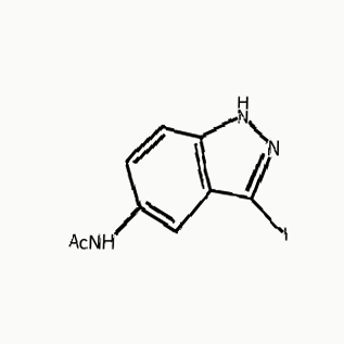 CC(=O)Nc1ccc2[nH]nc(I)c2c1